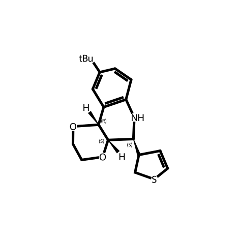 CC(C)(C)c1ccc2c(c1)[C@H]1OCCO[C@H]1[C@H](C1C=CSC1)N2